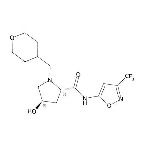 O=C(Nc1cc(C(F)(F)F)no1)[C@@H]1C[C@@H](O)CN1CC1CCOCC1